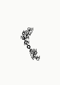 COCN[C@H](C(=O)N1CCC[C@H]1c1ncc(-c2ccc(-c3ncc(-c4cnc([C@@H]5CCCN5C(=O)[C@@H](NC(=O)O)C(C)C)[nH]4)cn3)cc2)[nH]1)C(C)C